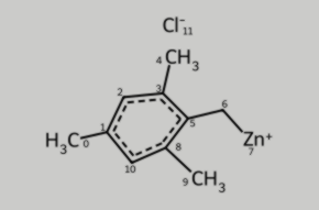 Cc1cc(C)c([CH2][Zn+])c(C)c1.[Cl-]